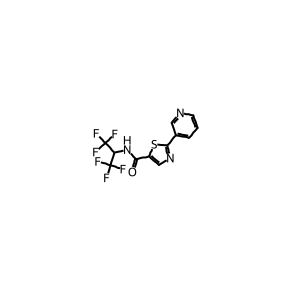 O=C(NC(C(F)(F)F)C(F)(F)F)c1cnc(-c2cccnc2)s1